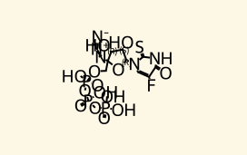 [N-]=[N+]=NC1(COP(=O)(O)OP(=O)(O)OP(=O)(O)O)O[C@@H](n2cc(F)c(=O)[nH]c2=S)[C@@H](O)[C@H]1O